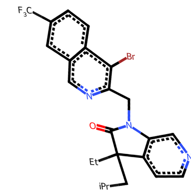 CCC1(CC(C)C)C(=O)N(Cc2ncc3cc(C(F)(F)F)ccc3c2Br)c2cnccc21